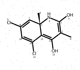 CC1=C(O)N[C@@]2(C)C=C(Cl)C=C(Cl)C2=C1O